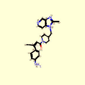 C/C(=C/C(=O)N1CCC(Cn2c(C)nc3cnccc32)CC1)c1ccc(N)cc1